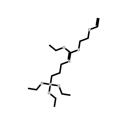 C=COCCOC(=NCCC[Si](OCC)(OCC)OCC)OCC